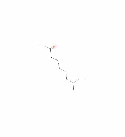 COC(=O)CCCCC[C@H](OC(C)=O)C(=O)O